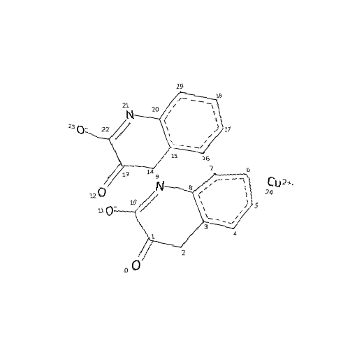 O=C1Cc2ccccc2N=C1[O-].O=C1Cc2ccccc2N=C1[O-].[Cu+2]